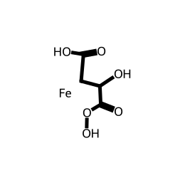 O=C(O)CC(O)C(=O)OO.[Fe]